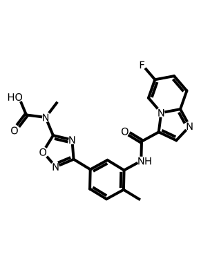 Cc1ccc(-c2noc(N(C)C(=O)O)n2)cc1NC(=O)c1cnc2ccc(F)cn12